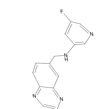 Fc1cncc(NCc2ccc3nccnc3c2)c1